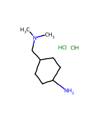 CN(C)CC1CCC(N)CC1.Cl.Cl